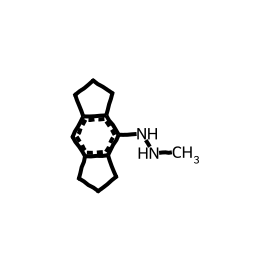 CNNc1c2c(cc3c1CCC3)CCC2